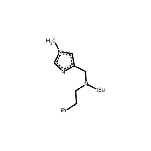 CC(C)CCN(Cc1cn(C)cn1)C(C)(C)C